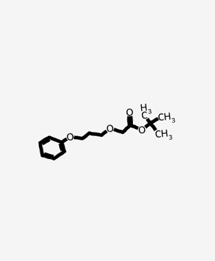 CC(C)(C)OC(=O)COCCCOc1ccccc1